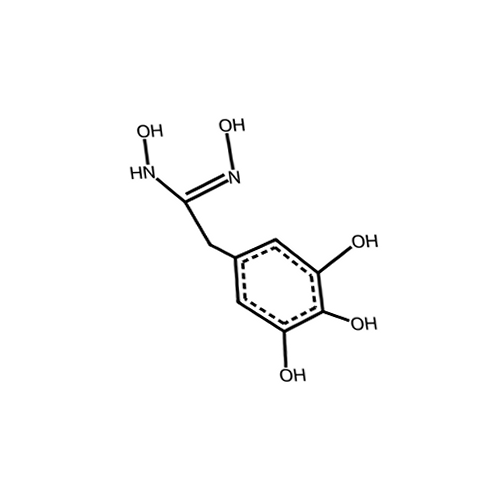 ON=C(Cc1cc(O)c(O)c(O)c1)NO